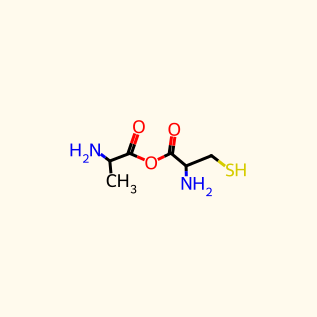 CC(N)C(=O)OC(=O)C(N)CS